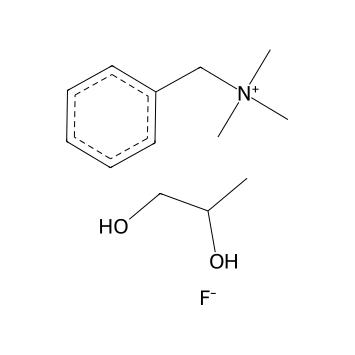 CC(O)CO.C[N+](C)(C)Cc1ccccc1.[F-]